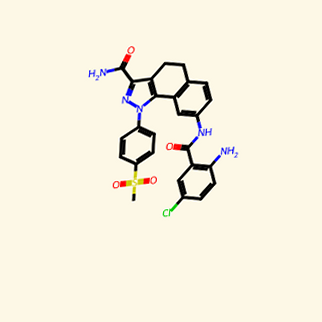 CS(=O)(=O)c1ccc(-n2nc(C(N)=O)c3c2-c2cc(NC(=O)c4cc(Cl)ccc4N)ccc2CC3)cc1